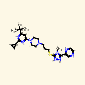 Cn1c(SCCCN2CCN(c3cc(C(C)(C)C)nc(C4CC4)n3)CC2)nnc1-c1cnccn1